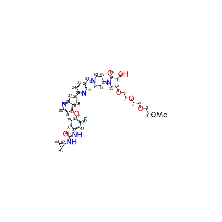 COCCOCCOCCOCCN(C(=O)CO)C1CCN(Cc2ccc(-c3cc4nccc(Oc5ccc(NC(=O)NC6CC6)cc5F)c4s3)nc2)CC1